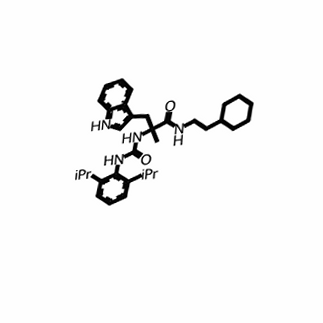 CC(C)c1cccc(C(C)C)c1NC(=O)NC(C)(Cc1c[nH]c2ccccc12)C(=O)NCCC1CCCCC1